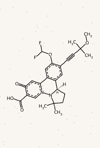 COC(C)(C)C#Cc1cc2c(cc1OC(F)F)-c1cc(=O)c(C(=O)O)cn1N1[C@@H]2CCC1(C)C